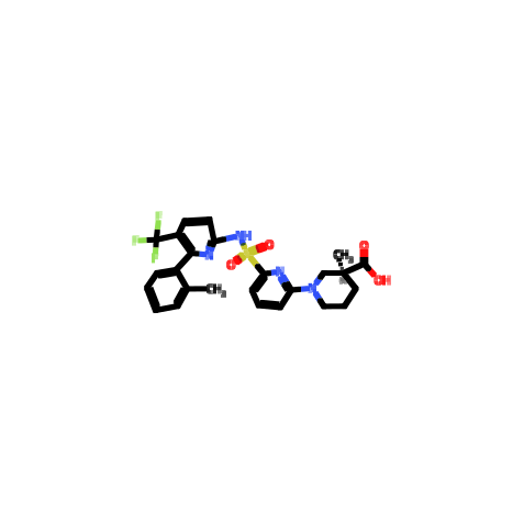 Cc1ccccc1-c1nc(NS(=O)(=O)c2cccc(N3CCC[C@](C)(C(=O)O)C3)n2)ccc1C(F)(F)F